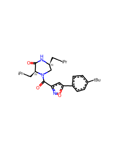 CC(C)C[C@H]1CN(C(=O)c2cc(-c3ccc(C(C)(C)C)cc3)on2)[C@@H](CC(C)C)C(=O)N1